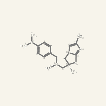 CN(Cc1ccc(N(C)C)cc1)C[C@@]1(C)Cn2cc([N+](=O)[O-])nc2O1